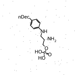 CCCCCCCCCCc1ccc(NC[C@H](N)COP(=O)(O)O)cc1